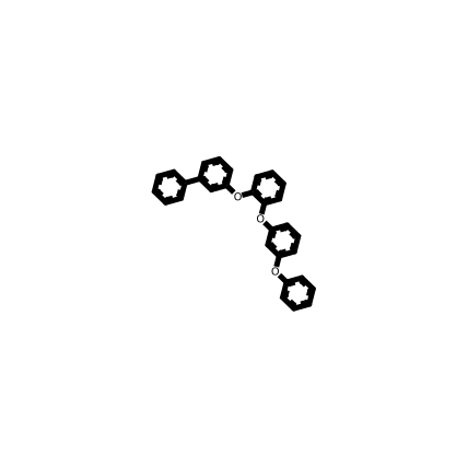 c1ccc(Oc2cccc(Oc3ccccc3Oc3cccc(-c4ccccc4)c3)c2)cc1